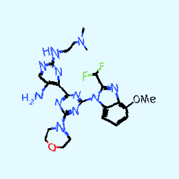 COc1cccc2c1nc(C(F)F)n2-c1nc(-c2nc(NCCN(C)C)ncc2N)nc(N2CCOCC2)n1